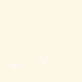 NC(=O)Cc1[nH]c2cccc(Br)c2c(=O)c1Cc1ccccc1